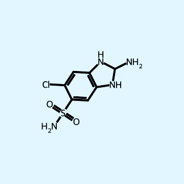 NC1Nc2cc(Cl)c(S(N)(=O)=O)cc2N1